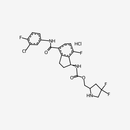 Cl.O=C(N[C@H]1CCc2c(C(=O)Nc3ccc(F)c(Cl)c3)ccc(F)c21)OCC1CC(F)(F)CN1